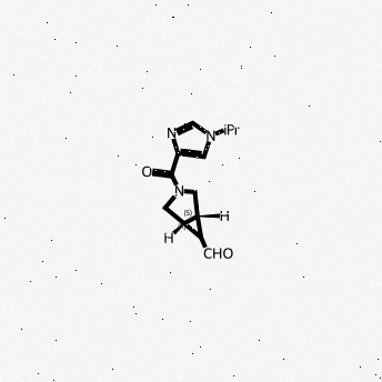 CC(C)n1cnc(C(=O)N2C[C@@H]3C(C=O)[C@@H]3C2)c1